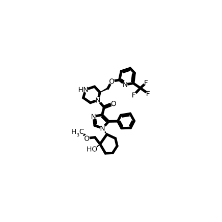 COC[C@]1(O)CCCC[C@H]1n1cnc(C(=O)N2CCNC[C@H]2COc2cccc(C(F)(F)F)n2)c1-c1ccccc1